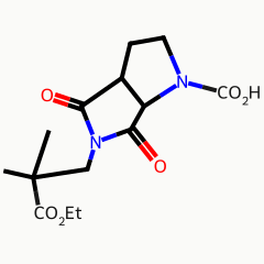 CCOC(=O)C(C)(C)CN1C(=O)C2CCN(C(=O)O)C2C1=O